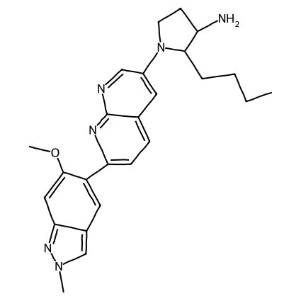 CCCCC1C(N)CCN1c1cnc2nc(-c3cc4cn(C)nc4cc3OC)ccc2c1